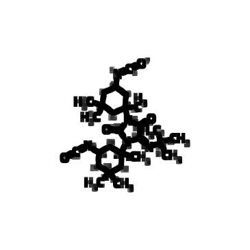 CC1(C)CC(N=C=O)CC(C)(N2C(=O)C(=N[Si](C)(C)C)N(C3(C)CC(N=C=O)CC(C)(C)C3)C2=O)C1